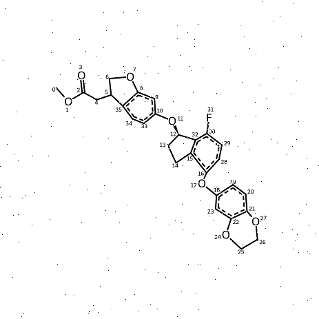 COC(=O)CC1COc2cc(O[C@@H]3CCc4c(Oc5ccc6c(c5)OCCO6)ccc(F)c43)ccc21